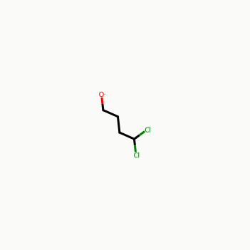 [O]CCCC(Cl)Cl